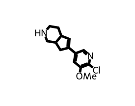 COc1cc(C2=CC3CCNCC3C2)cnc1Cl